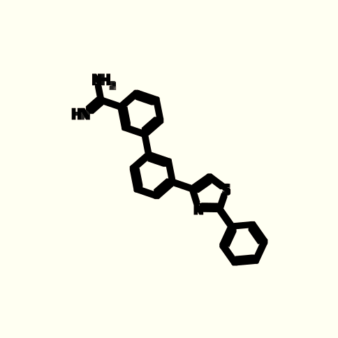 N=C(N)c1cccc(-c2cccc(-c3csc(-c4ccccc4)n3)c2)c1